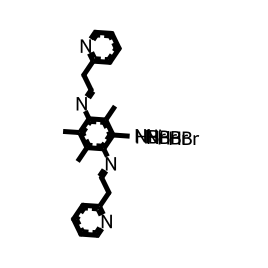 Br.Br.Br.Br.Cc1c(C)c(N=CCc2ccccn2)c(C)c(C)c1N=CCc1ccccn1.[Ni].[Ni]